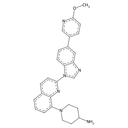 COc1ccc(-c2ccc3c(c2)ncn3-c2ccc3cccc(N4CCC(N)CC4)c3n2)cn1